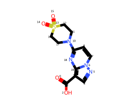 O=C(O)c1cnn2ccc(N3CCS(=O)(=O)CC3)nc12